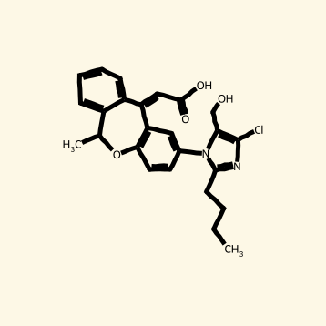 CCCCc1nc(Cl)c(CO)n1-c1ccc2c(c1)C(=CC(=O)O)c1ccccc1C(C)O2